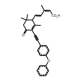 CC1=C(C#Cc2ccc(Oc3ccccc3)cc2)C(=O)CC(C)(C)C1/C=C/C(C)=C\C(=O)O